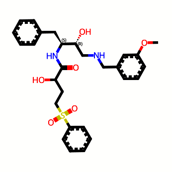 COc1cccc(CNC[C@@H](O)[C@H](Cc2ccccc2)NC(=O)C(O)CCS(=O)(=O)c2ccccc2)c1